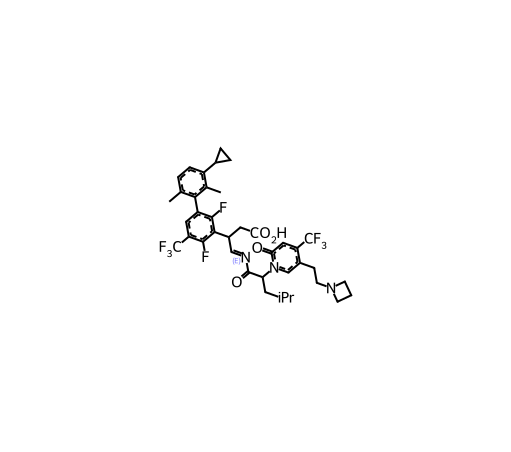 Cc1ccc(C2CC2)c(C)c1-c1cc(C(F)(F)F)c(F)c(C(/C=N/C(=O)C(CC(C)C)n2cc(CCN3CCC3)c(C(F)(F)F)cc2=O)CC(=O)O)c1F